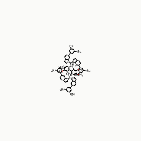 Cc1cc(OP(n2ccc3ccc(-c4cc(C(C)(C)C)cc(C(C)(C)C)c4)cc32)n2ccc3ccc(-c4cc(C(C)(C)C)cc(C(C)(C)C)c4)cc32)c(-c2c(OP(n3ccc4ccc(-c5cc(C(C)(C)C)cc(C(C)(C)C)c5)cc43)n3ccc4ccc(-c5cc(C(C)(C)C)cc(C(C)(C)C)c5)cc43)cc(C)c(C)c2C)c(C)c1C